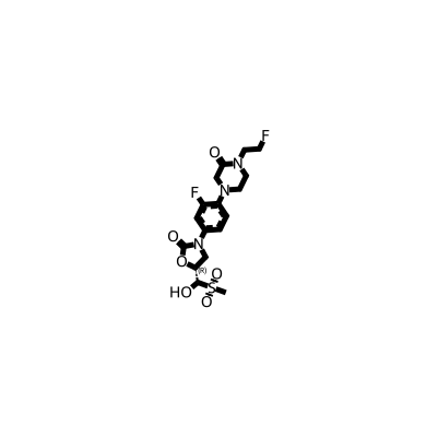 CS(=O)(=O)C(O)[C@H]1CN(c2ccc(N3CCN(CCF)C(=O)C3)c(F)c2)C(=O)O1